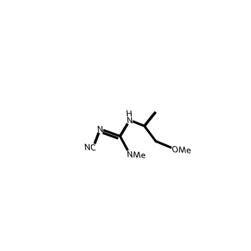 CN/C(=N\C#N)NC(C)COC